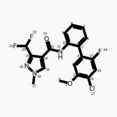 COc1cc(-c2ccccc2NC(=O)c2cn(C)nc2C(F)F)c(F)cc1Cl